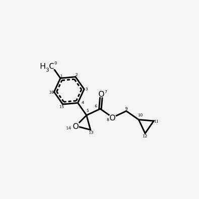 Cc1ccc(C2(C(=O)OCC3CC3)CO2)cc1